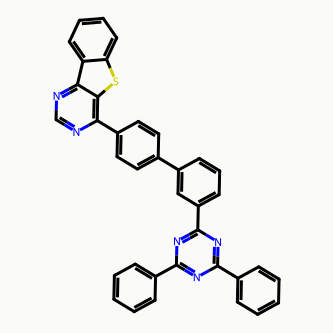 c1ccc(-c2nc(-c3ccccc3)nc(-c3cccc(-c4ccc(-c5ncnc6c5sc5ccccc56)cc4)c3)n2)cc1